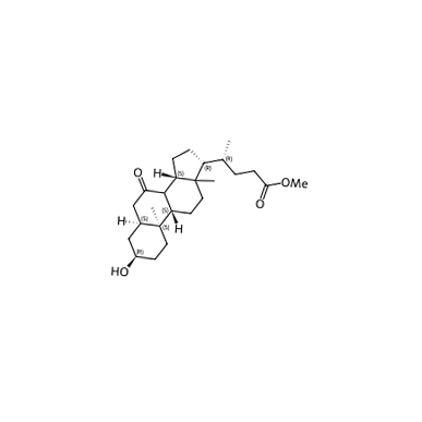 COC(=O)CC[C@@H](C)[C@H]1CC[C@H]2C3C(=O)C[C@@H]4C[C@H](O)CC[C@]4(C)[C@H]3CCC12C